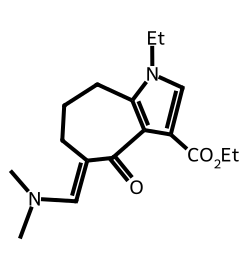 CCOC(=O)c1cn(CC)c2c1C(=O)C(=CN(C)C)CCC2